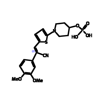 COc1ccc(/C(C#N)=C/c2ccc(N3CCC(OP(=O)(O)O)CC3)s2)cc1OC